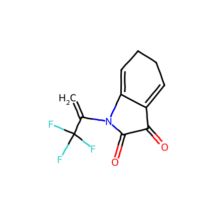 C=C(N1C(=O)C(=O)C2=CCCC=C21)C(F)(F)F